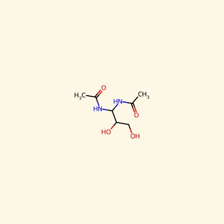 CC(=O)NC(NC(C)=O)C(O)CO